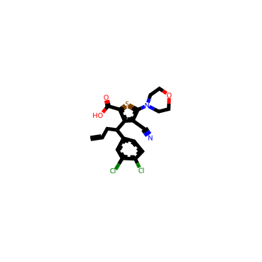 C=CCC(c1ccc(Cl)c(Cl)c1)c1c(C(=O)O)sc(N2CCOCC2)c1C#N